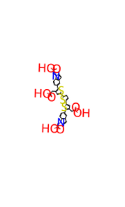 O=C(O)Cc1cc(-c2ccc(-c3cc(CC(=O)O)c(-c4ccc5c(ccn5CC(=O)O)c4)s3)s2)sc1-c1ccc2c(ccn2CC(=O)O)c1